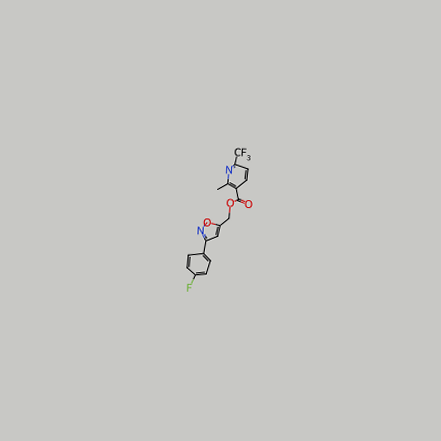 Cc1nc(C(F)(F)F)ccc1C(=O)OCc1cc(-c2ccc(F)cc2)no1